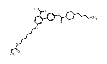 C=CC(=O)OCCCCCCOc1ccc(C(=O)O)c(-c2ccc(OC(=O)C3CCC(CCCCC)CC3)cc2)c1